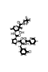 CC(C)[C@H](NC(=O)[C@@H]1CCCN1C(=O)[C@H](Cc1cccc(Cl)c1)NC(=O)c1ccccn1)[C@@H](O)C(F)(F)C(=O)NCC(F)(F)F